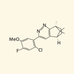 COc1cc(-c2cc3c(nn2)[C@@]2(C)CC[C@@H]3C2(C)C)c(Cl)cc1F